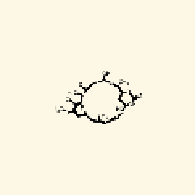 COc1cc2cc(c1Cl)N(C)C(=O)CCC(O)S[C@H](C)C1C[C@](O)(C/C=C/C=C(\C)C2)NC(=O)O1